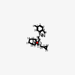 Cc1ccc2cnn(CCC(C)N3C4CCC3CC(OCC3CC3)C4)c2c1